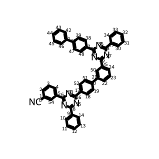 N#Cc1cccc(-c2nc(-c3ccccc3)nc(-c3ccc(-c4cccc(-c5nc(-c6ccccc6)nc(-c6ccc(-c7ccccc7)cc6)n5)c4)cc3)n2)c1